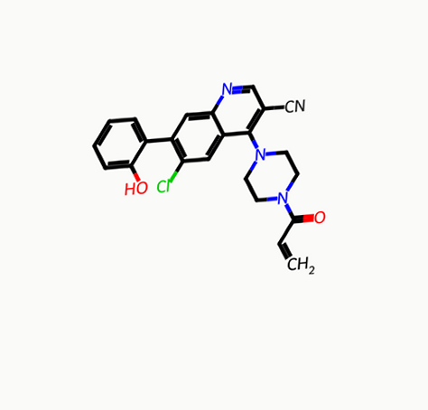 C=CC(=O)N1CCN(c2c(C#N)cnc3cc(-c4ccccc4O)c(Cl)cc23)CC1